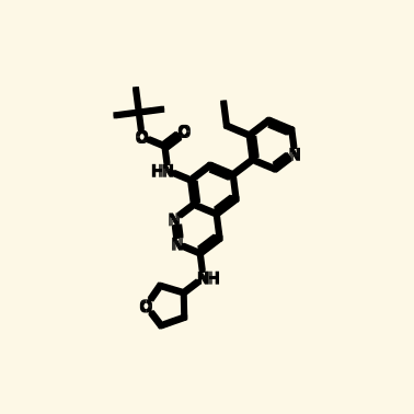 CCc1ccncc1-c1cc(NC(=O)OC(C)(C)C)c2nnc(NC3CCOC3)cc2c1